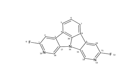 Fc1cc2c3cccc4c5cc(F)ncc5n(c2cn1)c34